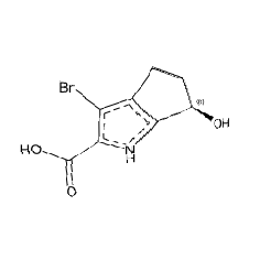 O=C(O)c1[nH]c2c(c1Br)CC[C@H]2O